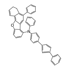 C1=Cc2c(c(-c3ccccc3)cc3c2oc2cccc(N(c4ccccc4)c4ccc(-c5ccc(-c6ccccc6)cc5)cc4)c23)CC1